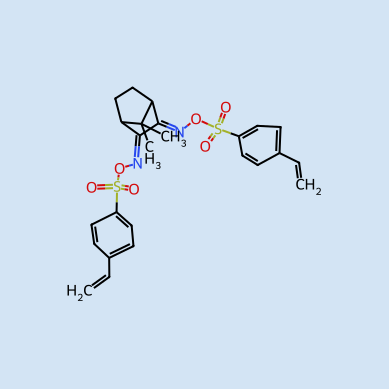 C=Cc1ccc(S(=O)(=O)ON=C2C(=NOS(=O)(=O)c3ccc(C=C)cc3)C3CCC2C3(C)C)cc1